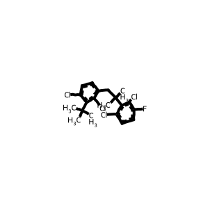 CC(C)(C)c1c(Cl)ccc(CC(C)(C)c2c(Cl)ccc(F)c2Cl)c1Cl